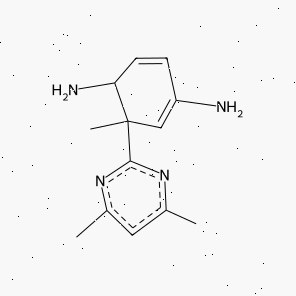 Cc1cc(C)nc(C2(C)C=C(N)C=CC2N)n1